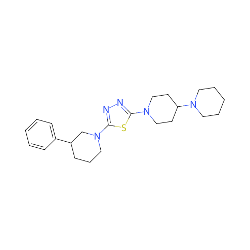 c1ccc(C2CCCN(c3nnc(N4CCC(N5CCCCC5)CC4)s3)C2)cc1